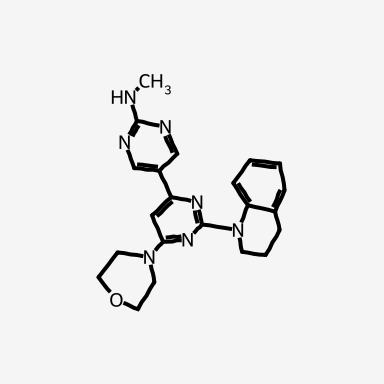 CNc1ncc(-c2cc(N3CCOCC3)nc(N3CCCc4ccccc43)n2)cn1